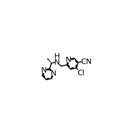 C[C@@H](NCc1cc(Cl)c(C#N)cn1)c1ncccn1